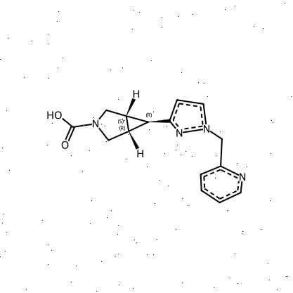 O=C(O)N1C[C@@H]2[C@H](C1)[C@H]2c1ccn(Cc2ccccn2)n1